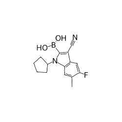 Cc1cc2c(cc1F)c(C#N)c(B(O)O)n2C1CCCC1